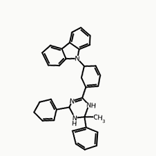 CC1(c2ccccc2)NC(C2=CC=CC(n3c4ccccc4c4ccccc43)C2)=NC(C2=CCCC=C2)N1